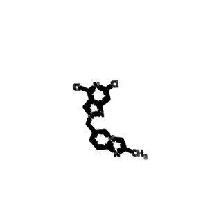 Cc1cn2cc(Cn3cc4c(Cl)nc(Cl)cc4n3)ccc2n1